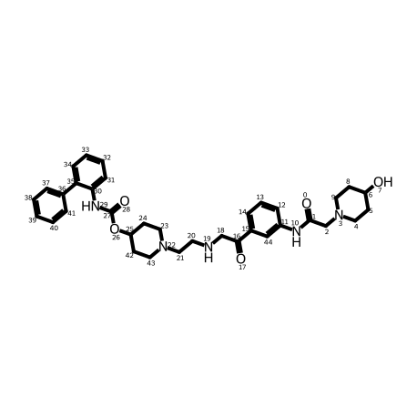 O=C(CN1CCC(O)CC1)Nc1cccc(C(=O)CNCCN2CCC(OC(=O)Nc3ccccc3-c3ccccc3)CC2)c1